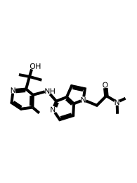 Cc1ccnc(C(C)(C)O)c1Nc1nccc2c1ccn2CC(=O)N(C)C